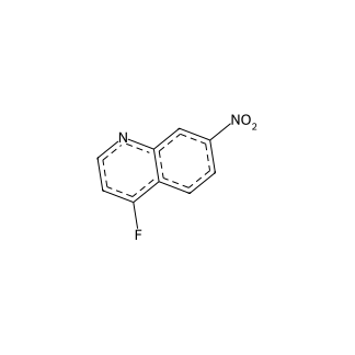 O=[N+]([O-])c1ccc2c(F)ccnc2c1